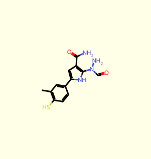 Cc1cc(-c2cc(C(N)=O)c(N(N)C=O)[nH]2)ccc1S